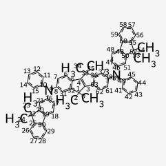 CC1(C)C2=C(c3ccc(N(c4ccccc4)c4ccc5c(c4)C(C)(C)c4ccccc4-5)cc31)C(C)(C)c1cc(N(c3ccccc3)c3ccc4c(c3)C(C)(C)c3ccccc3-4)ccc12